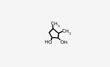 CC1CC(O)C(O)C1C